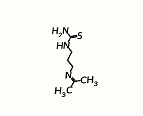 CC(C)=NCCCNC(N)=S